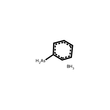 B.[AsH2]c1ccccc1